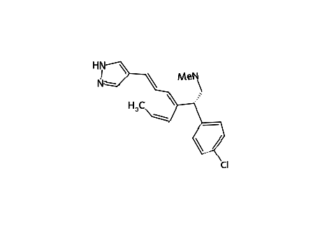 C\C=C/C(=C\C=C\c1cn[nH]c1)[C@H](CNC)c1ccc(Cl)cc1